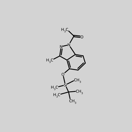 CC(=O)n1nc(C)c2c(O[Si](C)(C)C(C)(C)C)cccc21